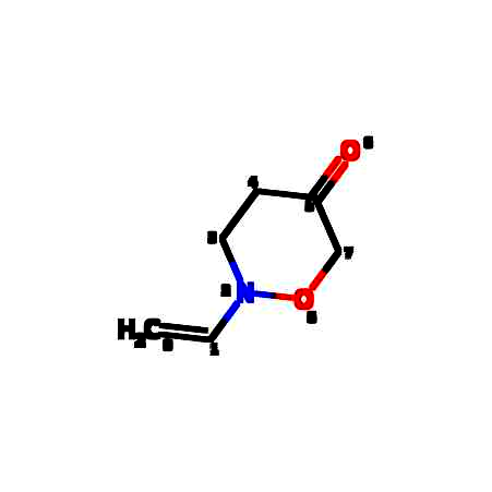 C=CN1CCC(=O)CO1